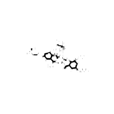 CCN(CC)CCOc1ccc2nc(Nc3nc(C)c4cc(OC)cc(OC)c4n3)nc(O)c2c1.O=C(O)C(F)(F)F